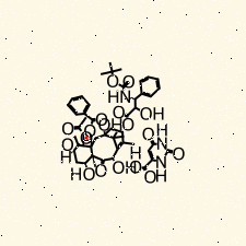 CC(=O)O[C@@]12CO[C@@H]1C[C@H](O)[C@@]1(C)C(=O)[C@H](O)C3=C(C)[C@@H](OC(=O)C(O)[C@@H](NC(=O)OC(C)(C)C)c4ccccc4)C[C@@](O)([C@@H](OC(=O)c4ccccc4)[C@H]21)C3(C)C.O=C(O)c1cc(=O)[nH]c(=O)[nH]1